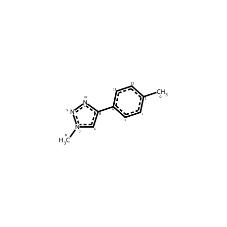 Cc1ccc(-c2cn(C)nn2)cc1